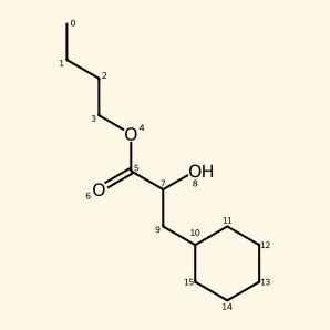 CCCCOC(=O)C(O)CC1CCCCC1